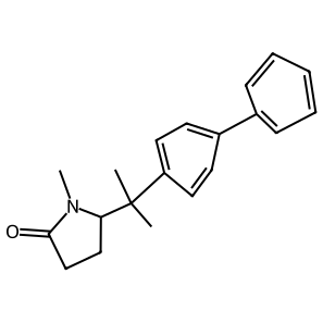 CN1C(=O)CCC1C(C)(C)c1ccc(-c2ccccc2)cc1